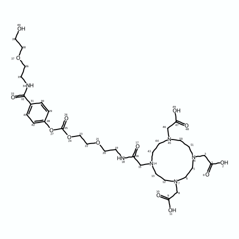 O=C(O)CN1CCN(CC(=O)O)CCN(CC(=O)NCCOCCOC(=O)Oc2ccc(C(=O)NCCOCCO)cc2)CCN(CC(=O)O)CC1